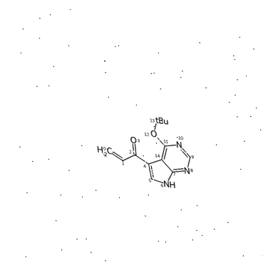 C=CC(=O)c1c[nH]c2ncnc(OC(C)(C)C)c12